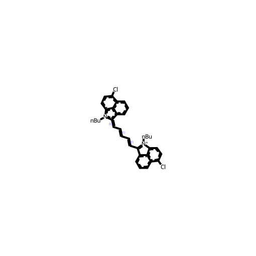 CCCCn1/c(=C/C=C/C=C/C2=[N+](CCCC)c3ccc(Cl)c4cccc2c34)c2cccc3c(Cl)ccc1c32